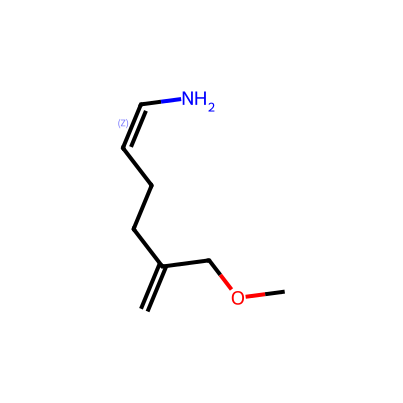 C=C(CC/C=C\N)COC